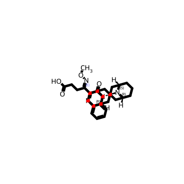 CO/N=C(\CCC(=O)O)c1nc2ccccc2n([C@H]2C[C@H]3CCC[C@@H](C2)N3[C@@H]2CC3CCC[C@H](C3)C2)c1=O